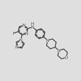 Ic1cnc(Nc2ccc(N3CCC(N4CCOCC4)CC3)cc2)nc1-n1ccnc1